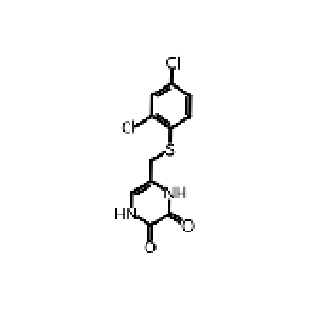 O=c1[nH]cc(CSc2ccc(Cl)cc2Cl)[nH]c1=O